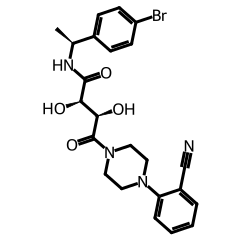 C[C@H](NC(=O)[C@H](O)[C@@H](O)C(=O)N1CCN(c2ccccc2C#N)CC1)c1ccc(Br)cc1